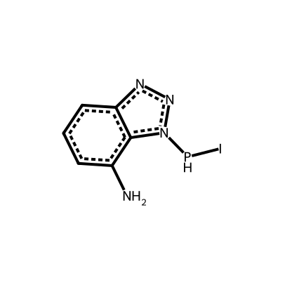 Nc1cccc2nnn(PI)c12